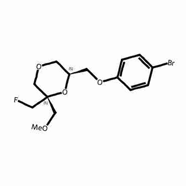 COC[C@@]1(CF)COC[C@@H](COc2ccc(Br)cc2)O1